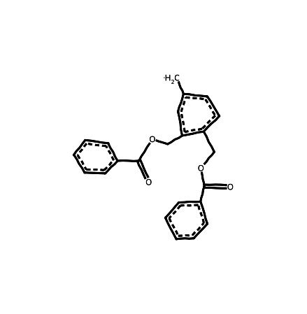 [CH2]c1ccc(COC(=O)c2ccccc2)c(COC(=O)c2ccccc2)c1